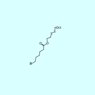 CCCCCCCCSSCCOC(=O)CCCCCBr